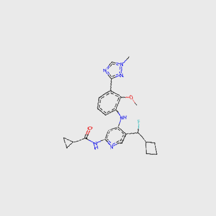 COc1c(Nc2cc(NC(=O)C3CC3)ncc2C(F)C2CCC2)cccc1-c1ncn(C)n1